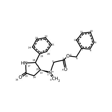 C=[N+](CC(=O)OCc1ccccc1)[C@H]1CC(=O)NC1c1ccccc1